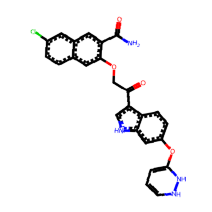 NC(=O)c1cc2cc(Cl)ccc2cc1OCC(=O)c1c[nH]c2cc(OC3=CC=CNN3)ccc12